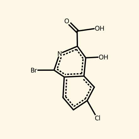 O=C(O)c1nc(Br)c2ccc(Cl)cc2c1O